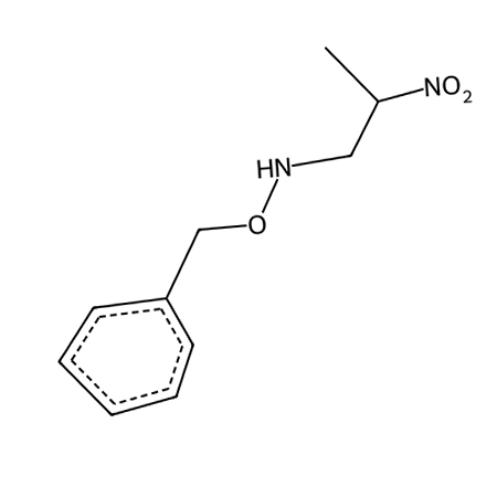 CC(CNOCc1ccccc1)[N+](=O)[O-]